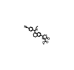 CCN=C(c1ccc(C#N)cc1)N1CCCc2cc(C3=NN(C(=O)OC)C(=O)SC3)ccc21